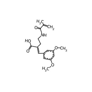 C=C(C)C(=O)NCC/C(=C\c1cc(OC)cc(OC)c1)C(=O)O